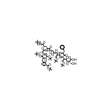 C[C@@H](OC(C)(C)C)[C@H](NC(=O)CNC(=O)[C@H](CCC(=O)NOC(C)(C)C)NC(=O)[C@@H](COC(C)(C)C)NC(=O)[C@H](Cc1cn(C(=O)OC(C)(C)C)cn1)NC(=O)OC(C)(C)C)C(=O)N[C@@H](Cc1ccccc1)C(=O)N[C@H](C(=O)N[C@@H](CO)C(=O)O)[C@@H](C)OC(C)(C)C